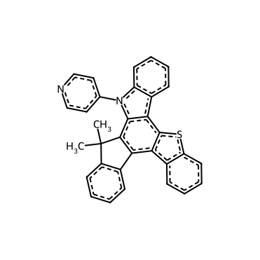 CC1(C)c2ccccc2-c2c1c1c(c3ccccc3n1-c1ccncc1)c1sc3ccccc3c21